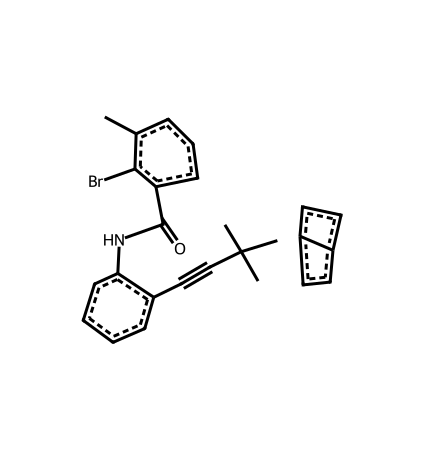 Cc1cccc(C(=O)Nc2ccccc2C#CC(C)(C)C)c1Br.c1cc2ccc1-2